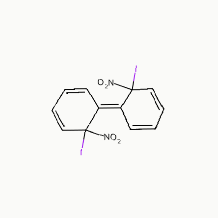 O=[N+]([O-])C1(I)C=CC=C/C1=C1/C=CC=CC1(I)[N+](=O)[O-]